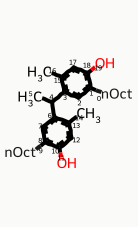 CCCCCCCCc1cc(C(C)c2cc(CCCCCCCC)c(O)cc2C)c(C)cc1O